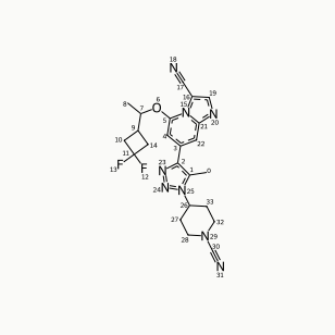 Cc1c(-c2cc(OC(C)C3CC(F)(F)C3)n3c(C#N)cnc3c2)nnn1C1CCN(C#N)CC1